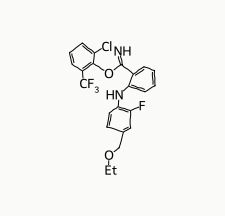 CCOCc1ccc(Nc2ccccc2C(=N)Oc2c(Cl)cccc2C(F)(F)F)c(F)c1